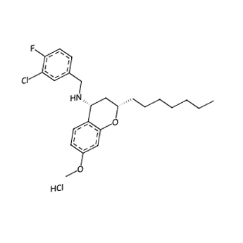 CCCCCCC[C@H]1C[C@@H](NCc2ccc(F)c(Cl)c2)c2ccc(OC)cc2O1.Cl